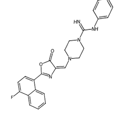 N=C(Nc1ccccc1)N1CCN(/C=C2/N=C(c3ccc(F)c4ccccc34)OC2=O)CC1